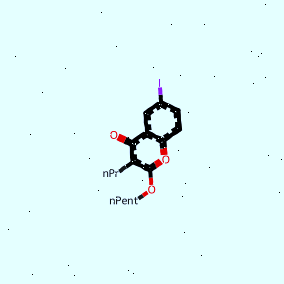 CCCCCOc1oc2ccc(I)cc2c(=O)c1CCC